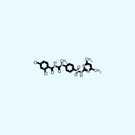 Cc1cc(C)nc(NS(=O)(=O)c2ccc(N(C)C(=O)NC(=O)c3ccc(Cl)cc3Cl)cc2)n1